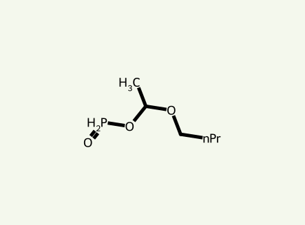 CCCCOC(C)O[PH2]=O